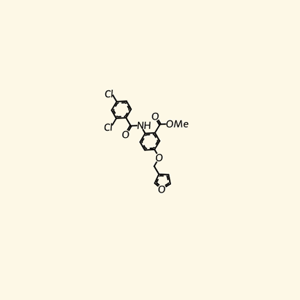 COC(=O)c1cc(OCc2ccoc2)ccc1NC(=O)c1ccc(Cl)cc1Cl